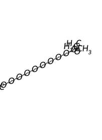 CCC(C)(C)C(=O)OCCCOCCCOCCCOCCCOCCCOCCCOCCCOCCCOCCCOC